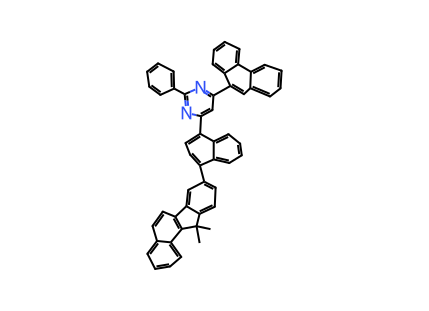 CC1(C)c2ccc(-c3ccc(-c4cc(-c5cc6ccccc6c6ccccc56)nc(-c5ccccc5)n4)c4ccccc34)cc2-c2ccc3ccccc3c21